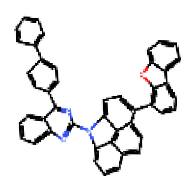 c1ccc(-c2ccc(-c3nc(-n4c5cccc6ccc7c(-c8cccc9c8oc8ccccc89)ccc4c7c65)nc4ccccc34)cc2)cc1